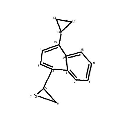 c1ccc2c(C3CS3)ccc(C3CC3)c2c1